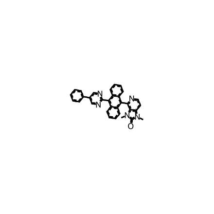 Cn1c(=O)n(C)c2c(-c3c4ccccc4c(-c4ncc(-c5ccccc5)cn4)c4ccccc34)nccc21